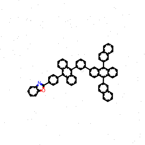 c1cc(-c2ccc3c(-c4ccc5ccccc5c4)c4ccccc4c(-c4ccc5ccccc5c4)c3c2)cc(-c2c3ccccc3c(-c3ccc(-c4nc5ccccc5o4)cc3)c3ccccc23)c1